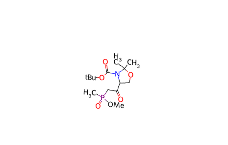 COP(C)(=O)CC(=O)C1COC(C)(C)N1C(=O)OC(C)(C)C